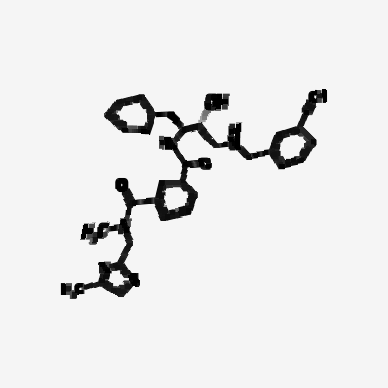 C#Cc1cccc(CNC[C@@H](O)[C@H](Cc2ccccc2)NC(=O)c2cccc(C(=O)N(C)Cc3nc(C)cs3)c2)c1